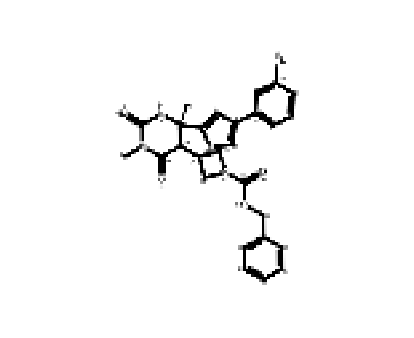 CN1C(=N)N[C@](C)(c2cc(-c3cccc(C#N)c3)cs2)C(C2CN(C(=O)OCc3ccccc3)C2)C1=O